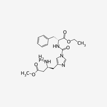 CCOC(=O)[C@@H](Cc1ccccc1)NC(=O)n1cnc(C[C@@H](CC(=O)OC)NP)c1